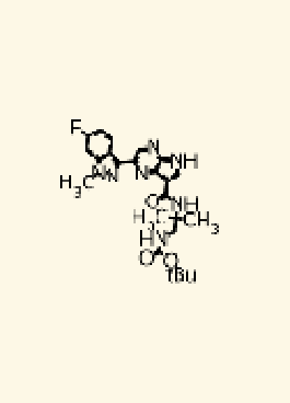 Cn1nc(-c2cnc3[nH]cc(C(=O)NC(C)(C)CNC(=O)OC(C)(C)C)c3n2)c2ccc(F)cc21